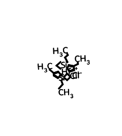 CCCC[Si]1([C]2([Hf+2][C]3([Si]4(CCCC)CCC4)C=CC(CC)=C3)C=CC(CC)=C2)CCC1.[Cl-].[Cl-]